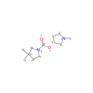 CN1CC[C@@H](OC(=O)N2CCC(C)(C)C2)C1